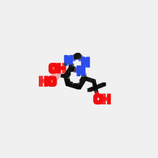 CC(C)(O)Cc1ccc(B(O)O)c2ncnn12